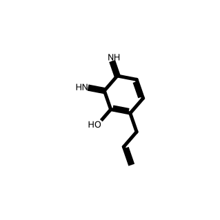 C=CCC1=C(O)C(=N)C(=N)C=C1